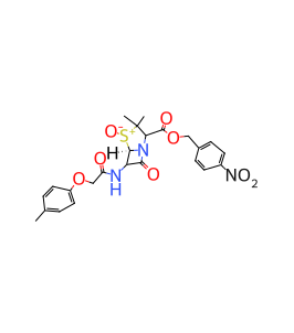 Cc1ccc(OCC(=O)NC2C(=O)N3C(C(=O)OCc4ccc([N+](=O)[O-])cc4)C(C)(C)[S+]([O-])[C@H]23)cc1